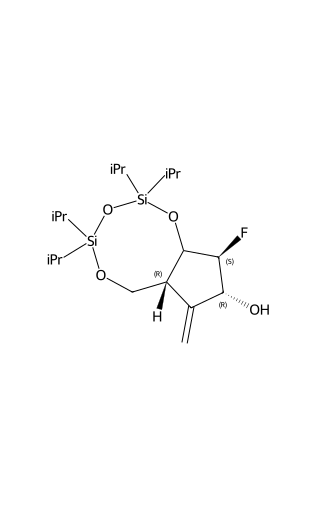 C=C1[C@@H](O)[C@H](F)C2O[Si](C(C)C)(C(C)C)O[Si](C(C)C)(C(C)C)OC[C@@H]12